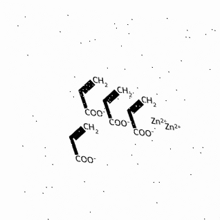 C=CC(=O)[O-].C=CC(=O)[O-].C=CC(=O)[O-].C=CC(=O)[O-].[Zn+2].[Zn+2]